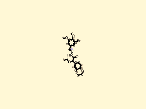 CCOC(C(=O)N/N=C/c1cc(Br)c(OC)c(OC)c1)c1ccc2c(c1)OCCO2